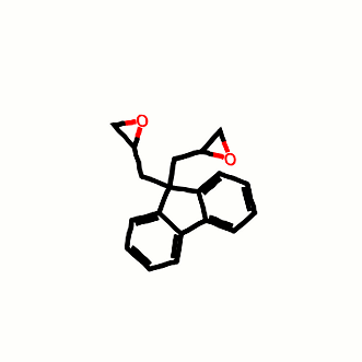 c1ccc2c(c1)-c1ccccc1C2(CC1CO1)CC1CO1